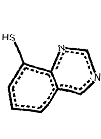 Sc1cccc2cncnc12